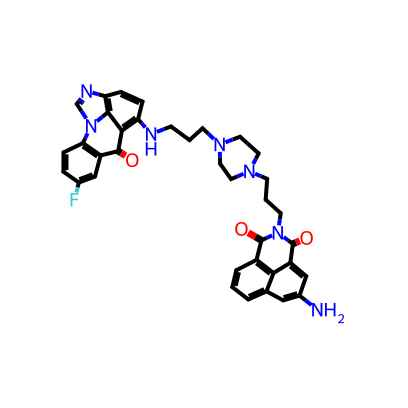 Nc1cc2c3c(cccc3c1)C(=O)N(CCCN1CCN(CCCNc3ccc4ncn5c6ccc(F)cc6c(=O)c3c45)CC1)C2=O